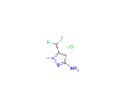 Cl.Cn1nc(N)cc1C(F)F